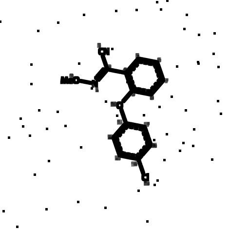 CON=C(C#N)c1ccccc1Oc1ccc(Cl)cc1